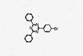 BrC1C=CC(c2nc(-c3ccccc3)nc(-c3ccccc3)n2)=CC1